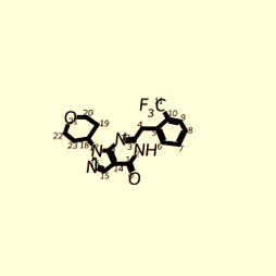 O=c1[nH]c(Cc2ccccc2C(F)(F)F)nc2c1cnn2C1CCOCC1